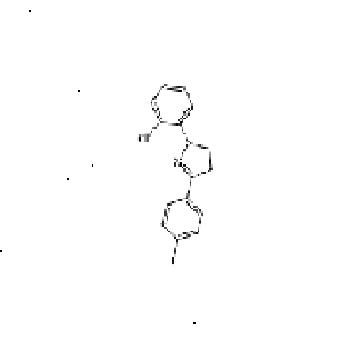 Clc1ccccc1C1CCC(c2ccc(I)cc2)=N1